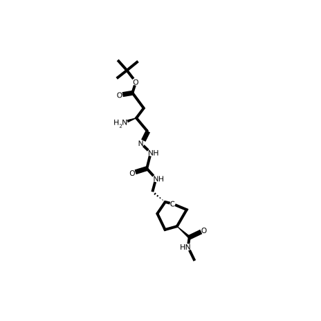 CNC(=O)[C@H]1CC[C@H](CNC(=O)N/N=C/[C@@H](N)CC(=O)OC(C)(C)C)CC1